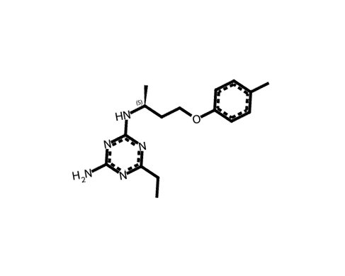 CCc1nc(N)nc(N[C@@H](C)CCOc2ccc(C)cc2)n1